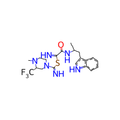 CC(Cc1c[nH]c2ccccc12)NC(=O)C(=N)SC(=N)N1CCN(C)C(C(F)(F)F)C1